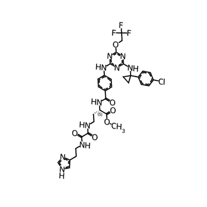 COC(=O)[C@H](CCNC(=O)C(=O)NCCc1c[nH]cn1)NC(=O)c1ccc(Nc2nc(NC3(c4ccc(Cl)cc4)CC3)nc(OCC(F)(F)F)n2)cc1